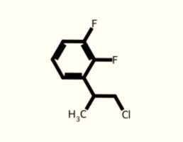 C[C](CCl)c1cccc(F)c1F